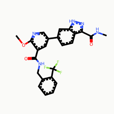 CNC(=O)c1n[nH]c2cc(-c3cnc(OC)c(C(=O)NCc4ccccc4C(F)(F)F)c3)ccc12